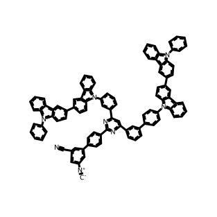 [C-]#[N+]c1cc(C#N)cc(-c2ccc(-c3nc(-c4cccc(-c5ccc(-n6c7ccccc7c7cc(-c8ccc9c(c8)c8ccccc8n9-c8ccccc8)ccc76)cc5)c4)cc(-c4cccc(-n5c6ccccc6c6cc(-c7ccc8c(c7)c7ccccc7n8-c7ccccc7)ccc65)c4)n3)cc2)c1